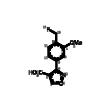 COc1cc(-c2nocc2C(=O)O)ccc1CF